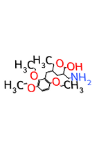 CCOc1ccc(OCC)c(OCC)c1CC(CC)CC(CN)C(=O)O